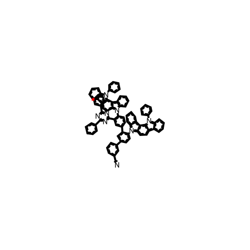 N#Cc1cccc(-c2ccc(-n3c4ccccc4c4c3ccc3c5ccccc5n(-c5ccccc5)c34)c(-c3ccc(-n4c5ccccc5c5c4ccc4c6ccccc6n(-c6ccccc6)c45)c(-c4nc(-c5ccccc5)nc(-c5ccccc5)n4)c3)c2)c1